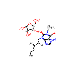 CCCCCn1c(=O)c2[nH]cnc2n(CC(C(C)=O)C(CCC(C)=O)C(C)=O)c1=O.OC[C@H]1OC(O)[C@H](O)[C@@H]1O